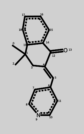 CC1(C)CC(=Cc2ccncc2)C(=O)c2ccccc21